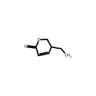 CCC1C=CC(=O)OC1